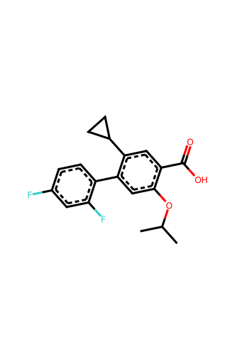 CC(C)Oc1cc(-c2ccc(F)cc2F)c(C2CC2)cc1C(=O)O